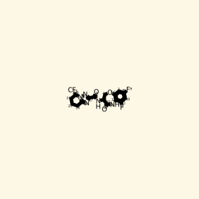 O=C(NC1COc2cc(F)cc(F)c2NC1=O)c1nc2n(n1)C(C(F)(F)F)CCC2